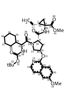 C=C[C@@H]1C[C@]1(NC(=O)[C@@H]1C[C@@H](Oc2nccc3cc(OC)ccc23)CN1C(=O)[C@@H](NC(=O)OC(C)(C)C)C1CCCCC1)C(=O)OC